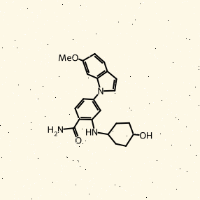 COc1ccc2ccn(-c3ccc(C(N)=O)c(NC4CCC(O)CC4)c3)c2c1